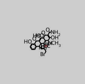 CN(C)[C@@H]1C(O)=C(C(N)=O)C(=O)[C@@]2(O)C(O)=C3C(=O)c4c(O)cccc4[C@@H]4C=C(CBr)O[C@@H]([C@@H]34)[C@@H]12